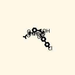 CC(C)COC(=O)Nc1cccc(C2CC2(NS(=O)(=O)c2ccc(-c3ccc(Cl)cc3)cc2)C(=O)O)c1